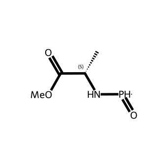 COC(=O)[C@H](C)N[PH]=O